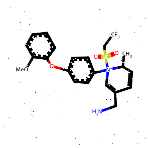 COc1ccccc1Oc1ccc([N+]2(S(=O)(=O)CC(F)(F)F)C=C(CN)C=CC2C)cc1